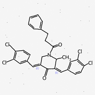 CC1/C(=C\c2ccc(Cl)c(Cl)c2)C(=O)/C(=C/c2ccc(Cl)c(Cl)c2)CN1C(=O)CCc1ccccc1